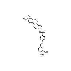 CC1(O)C=C2CCC3C(CCC4C(OC(=O)c5ccc(C=Cc6ccc(O)c(O)c6)cc5)CCC43)C2=CC1